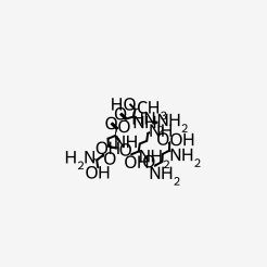 C[C@@H](O)[C@H](N)C(=O)OC(=O)[C@@H]1CCCN1.N=C(N)NCCC[C@H](N)C(=O)O.NC(=O)CC[C@H](N)C(=O)O.N[C@@H](CO)C(=O)O